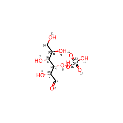 O=C[C@H](O)[C@@H](O)[C@H](O)[C@H](O)CO.O=[Se](=O)(O)O